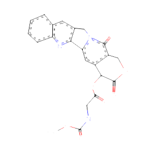 CC(C)(C)OC(=O)NCC(=O)OC1C(=O)OCc2c1cc1n(c2=O)Cc2cc3ccccc3nc2-1